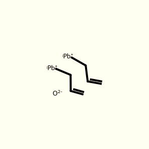 C=C[CH2][Pb+].C=C[CH2][Pb+].[O-2]